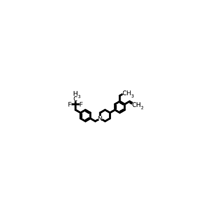 C=Cc1ccc(C2CCN(Cc3ccc(CC(C)(F)F)cc3)CC2)cc1CC